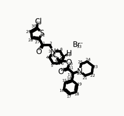 O=C(C[N+]12CCC(CC1)[C@@H](OC(=O)C(c1ccccc1)N1CCCCC1)C2)c1ccc(Cl)s1.[Br-]